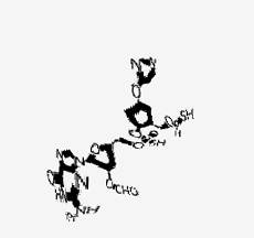 CC(C)Nc1nc2c(ncn2[C@@H]2O[C@H](COP(=O)(S)O[C@H]3C[C@H](Oc4ccncn4)C[C@@H]3COPS)C[C@H]2OC=O)c(=O)[nH]1